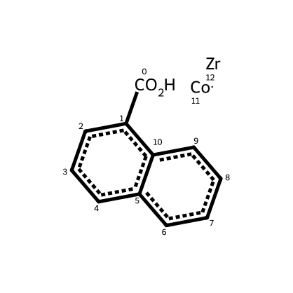 O=C(O)c1cccc2ccccc12.[Co].[Zr]